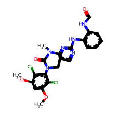 COc1cc(OC)c(Cl)c(N2Cc3cnc(Nc4ccccc4NC=O)nc3N(C)C2=O)c1Cl